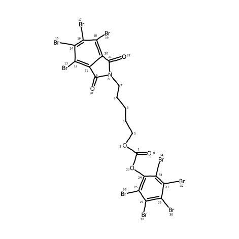 O=C(OCCCCCN1C(=O)c2c(Br)c(Br)c(Br)c(Br)c2C1=O)Oc1c(Br)c(Br)c(Br)c(Br)c1Br